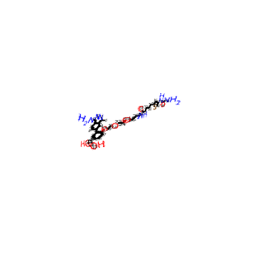 Cc1nnc(N)c2ccc(-c3cc(B(O)O)ccc3OCCOCCOCCNC(=O)CCCC[C@H]3C[C@@H](NC(N)=O)CS3)cc12